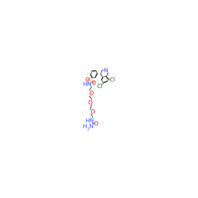 CN1Cc2c(Cl)cc(Cl)cc2[C@H](c2cccc(S(=O)(=O)NCCOCCOCCOCCNC(N)=O)c2)C1